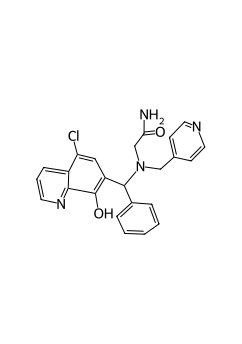 NC(=O)CN(Cc1ccncc1)C(c1ccccc1)c1cc(Cl)c2cccnc2c1O